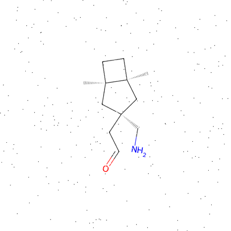 C[C@@]12CC[C@]1(C)C[C@](CN)(CC=O)C2